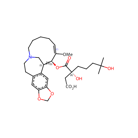 CO/C1=C/CCCCN2CCc3cc4c(cc3[C@@H](C2)[C@@H]1OC(=O)[C@@](O)(CCCC(C)(C)O)CC(=O)O)OCO4